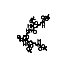 CC(=O)C(CCCCNC(=O)C(CCCCNC(=O)OC(C)(C)C)NC(=O)OC(C)(C)C)NC(=O)C(CCCCNC(=O)OC(C)(C)C)NC(=O)OC(C)(C)C